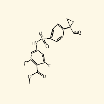 COC(=O)c1c(F)cc(NS(=O)(=O)c2ccc(C3(C=O)CC3)cc2)cc1F